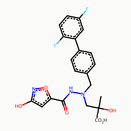 CC(O)(CN(Cc1ccc(-c2cc(F)ccc2F)cc1)NC(=O)c1cc(O)no1)C(=O)O